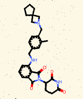 Cc1cc(CNc2cccc3c2C(=O)N(C2CCC(=O)NC2=O)C3=O)ccc1CN1CC2(CCCC2)C1